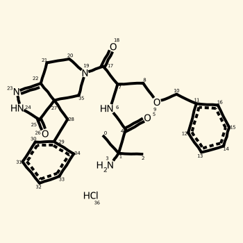 CC(C)(N)C(=O)NC(COCc1ccccc1)C(=O)N1CCC2=NNC(=O)C2(Cc2ccccc2)C1.Cl